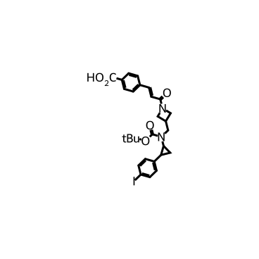 CC(C)(C)OC(=O)N(CC1CN(C(=O)/C=C/c2ccc(C(=O)O)cc2)C1)C1CC1c1ccc(I)cc1